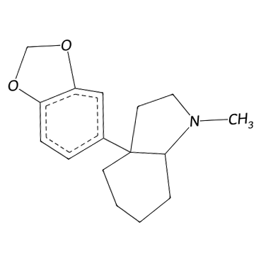 CN1CCC2(c3ccc4c(c3)OCO4)CCCCC12